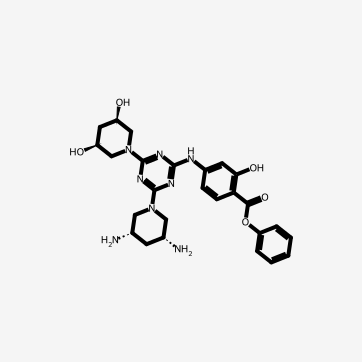 N[C@@H]1C[C@H](N)CN(c2nc(Nc3ccc(C(=O)Oc4ccccc4)c(O)c3)nc(N3C[C@H](O)C[C@H](O)C3)n2)C1